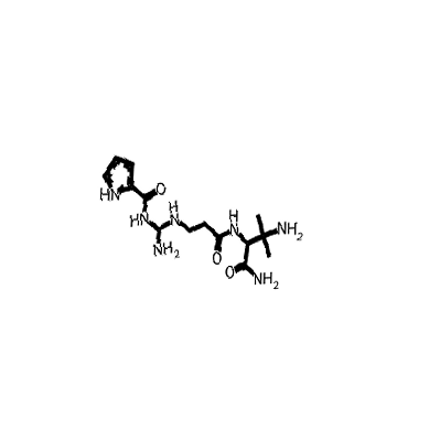 CC(C)(N)C(NC(=O)CCNC(N)NC(=O)c1ccc[nH]1)C(N)=O